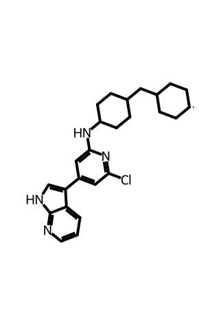 Clc1cc(-c2c[nH]c3ncccc23)cc(NC2CCC(CC3CC[CH]CC3)CC2)n1